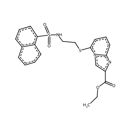 CCOC(=O)c1cn2c(SCCNS(=O)(=O)c3cccc4ccccc34)cccc2n1